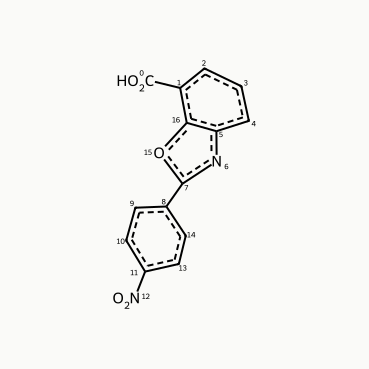 O=C(O)c1cccc2nc(-c3ccc([N+](=O)[O-])cc3)oc12